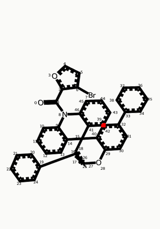 O=C(c1occc1Br)N1c2ccccc2C2(c3cc(-c4ccccc4)ccc3Oc3ccc(-c4ccccc4)cc32)c2ccccc21